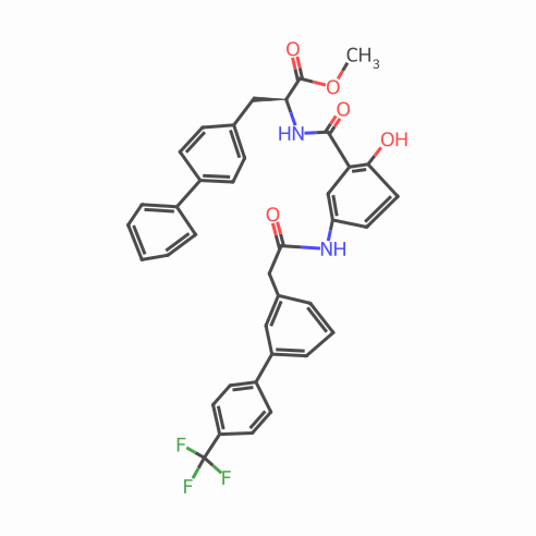 COC(=O)[C@H](Cc1ccc(-c2ccccc2)cc1)NC(=O)c1cc(NC(=O)Cc2cccc(-c3ccc(C(F)(F)F)cc3)c2)ccc1O